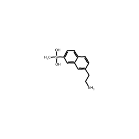 C[Si](O)(O)c1ccc2ccc(CCN)cc2c1